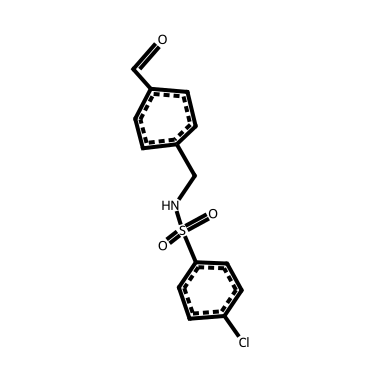 O=Cc1ccc(CNS(=O)(=O)c2ccc(Cl)cc2)cc1